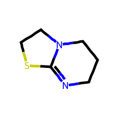 C1CN=C2SCCN2C1